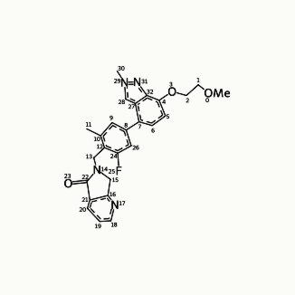 COCCOc1ccc(-c2cc(C)c(CN3Cc4ncccc4C3=O)c(F)c2)c2cn(C)nc12